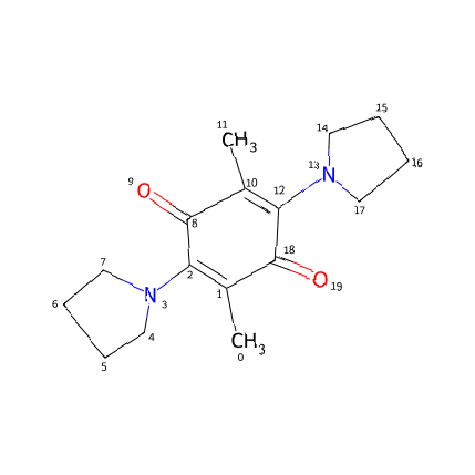 CC1=C(N2CCCC2)C(=O)C(C)=C(N2CCCC2)C1=O